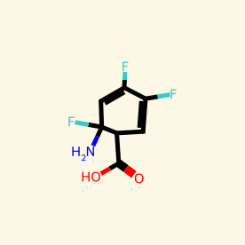 NC1(F)C=C(F)C(F)=CC1C(=O)O